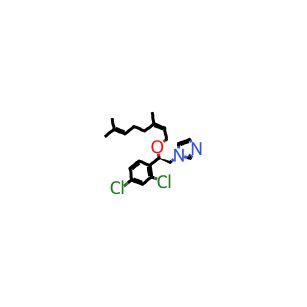 CC(C)=CCC/C(C)=C\CO[C@@H](Cn1ccnc1)c1ccc(Cl)cc1Cl